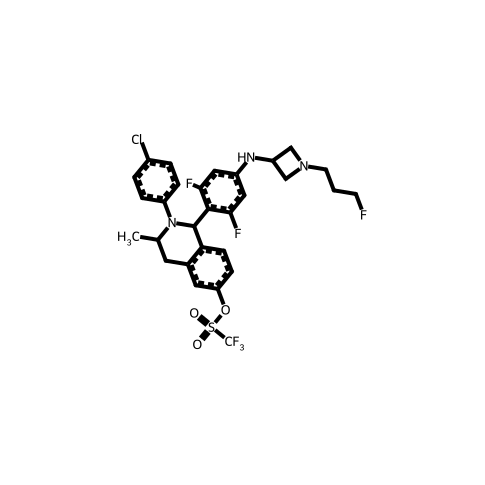 CC1Cc2cc(OS(=O)(=O)C(F)(F)F)ccc2C(c2c(F)cc(NC3CN(CCCF)C3)cc2F)N1c1ccc(Cl)cc1